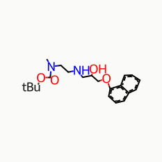 CN(CCNC[C@@H](O)COc1cccc2ccccc12)C(=O)OC(C)(C)C